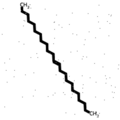 [CH2]CCCCCCCCCC=CCCCCCCCCCC[CH2]